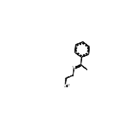 C/C(=N\CCO)c1ccccc1